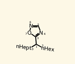 CCCCCCCC(CCCCCC)c1ncno1